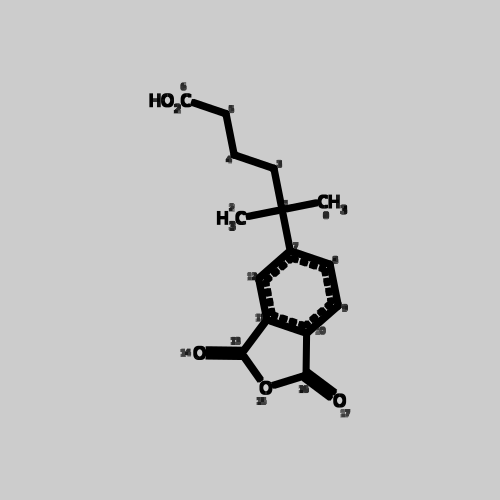 CC(C)(CCCC(=O)O)c1ccc2c(c1)C(=O)OC2=O